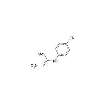 CS/C(=C\[N+](=O)[O-])Nc1ccc(C#N)cc1